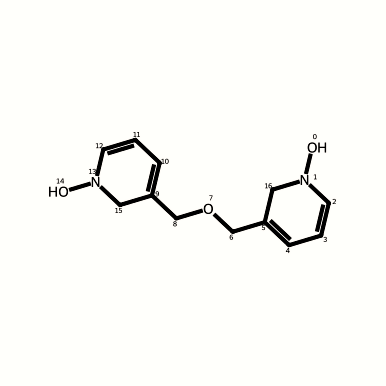 ON1C=CC=C(COCC2=CC=CN(O)C2)C1